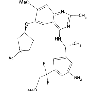 COCC(F)(F)c1cc(N)cc([C@@H](C)Nc2nc(C)nc3cc(OC)c(O[C@H]4CCN(C(C)=O)C4)cc23)c1